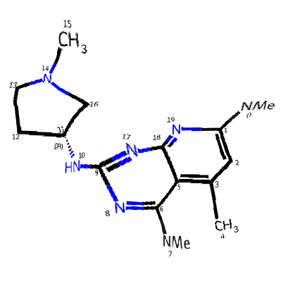 CNc1cc(C)c2c(NC)nc(N[C@@H]3CCN(C)C3)nc2n1